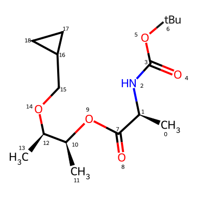 C[C@H](NC(=O)OC(C)(C)C)C(=O)O[C@@H](C)[C@@H](C)OCC1CC1